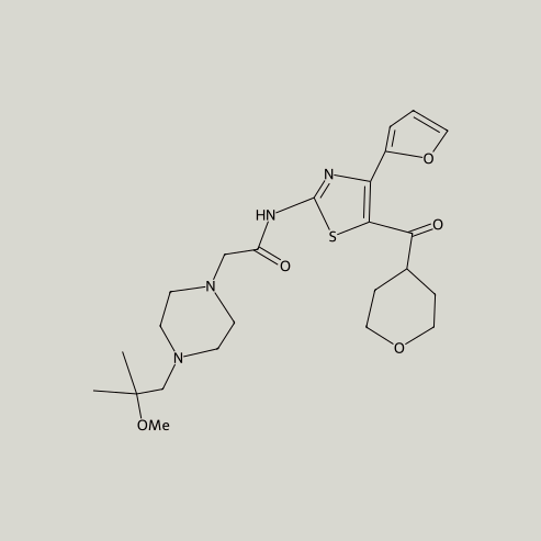 COC(C)(C)CN1CCN(CC(=O)Nc2nc(-c3ccco3)c(C(=O)C3CCOCC3)s2)CC1